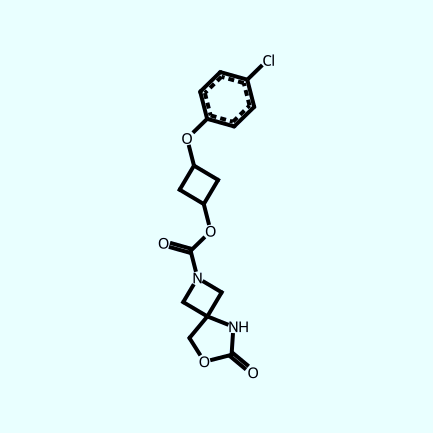 O=C1NC2(CO1)CN(C(=O)OC1CC(Oc3ccc(Cl)cc3)C1)C2